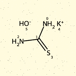 NC(N)=S.[K+].[OH-]